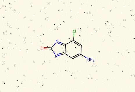 Nc1cc(Cl)c2c(c1)=NC(=O)N=2